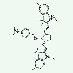 CCN1/C(=C/C=C2\CCC(/C=C/C3=[N+](CC)c4ccc(C)cc4C3(C)C)=C2OCc2ccc(N(C)C)cc2)C(C)(C)c2cc(C)ccc21